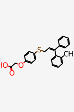 Cc1ccccc1/C(=C\CSc1ccc(OCC(=O)O)cc1)c1ccccc1